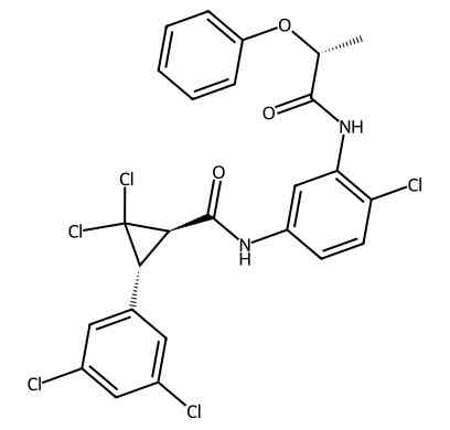 C[C@@H](Oc1ccccc1)C(=O)Nc1cc(NC(=O)[C@H]2[C@H](c3cc(Cl)cc(Cl)c3)C2(Cl)Cl)ccc1Cl